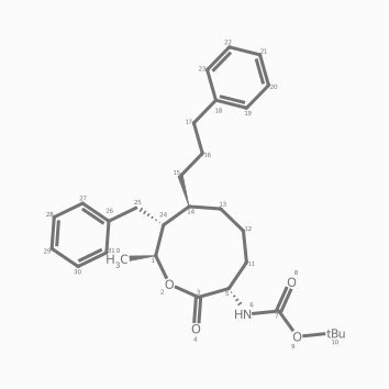 C[C@@H]1OC(=O)[C@@H](NC(=O)OC(C)(C)C)CCC[C@H](CCCc2ccccc2)[C@H]1Cc1ccccc1